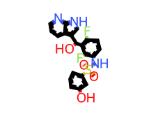 O=S(=O)(Nc1ccc(F)c(C(O)c2c[nH]c3ncccc23)c1F)c1cccc(O)c1